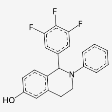 Oc1ccc2c(c1)CCN(c1ccccc1)C2c1cc(F)c(F)c(F)c1